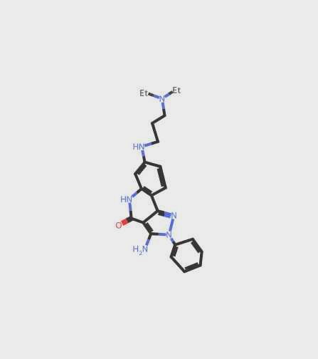 CCN(CC)CCCNc1ccc2c(c1)[nH]c(=O)c1c(N)n(-c3ccccc3)nc12